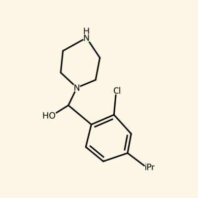 CC(C)c1ccc(C(O)N2CCNCC2)c(Cl)c1